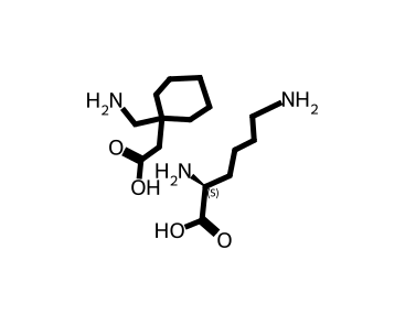 NCC1(CC(=O)O)CCCCC1.NCCCC[C@H](N)C(=O)O